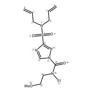 C=CCN(CC=C)S(=O)(=O)c1ncn(C(=O)N(CC)CCOC)n1